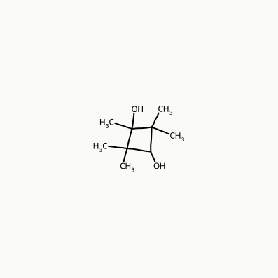 CC1(C)C(O)C(C)(C)C1(C)O